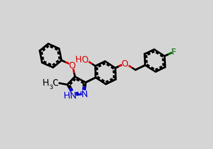 Cc1[nH]nc(-c2ccc(OCc3ccc(F)cc3)cc2O)c1Oc1ccccc1